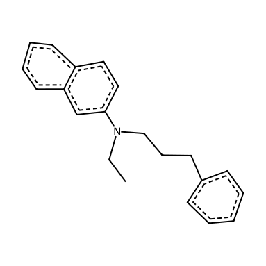 CCN(CCCc1ccccc1)c1ccc2ccccc2c1